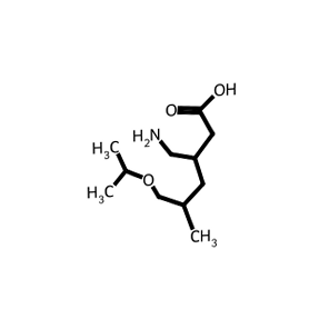 CC(COC(C)C)CC(CN)CC(=O)O